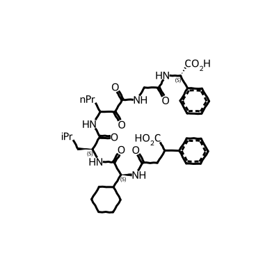 CCCC(NC(=O)[C@H](CC(C)C)NC(=O)[C@@H](NC(=O)CC(C(=O)O)c1ccccc1)C1CCCCC1)C(=O)C(=O)NCC(=O)N[C@H](C(=O)O)c1ccccc1